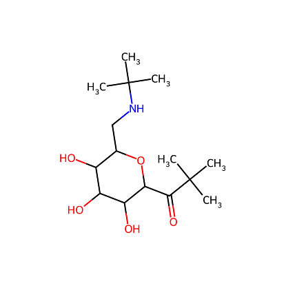 CC(C)(C)NCC1OC(C(=O)C(C)(C)C)C(O)C(O)C1O